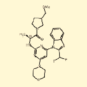 COCC1CCN(C(=O)[C@H](C)Nc2nc(N3CCOCC3)cc(-n3c(C(F)F)nc4ccccc43)n2)C1